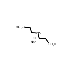 O=C(O)CC[N+]CCC(=O)O.[Na+].[Na+]